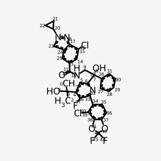 CC(C)(O)c1cc([C@@](O)(CNC(=O)c2cc(Cl)c3nn(C4CC4)cc3c2)c2ccccc2)nc(-c2ccc3c(c2Cl)OC(F)(F)O3)c1F